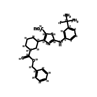 BC(F)(P)c1cccc(Nc2nc(C3CCCN(C(=O)OCc4ccccc4)C3)c(C(=O)OCC)s2)c1